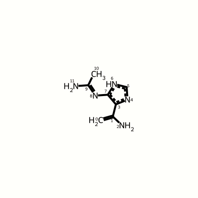 C=C(N)c1nc[nH]c1/N=C(\C)N